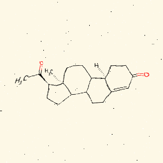 CC(=O)[C@@H]1CCC2C3CCC4=CC(=O)CC[C@@H]4C3CC[C@@]21C